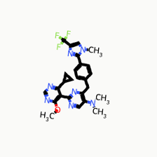 COc1ncnc(C2CC2)c1-c1ncc(N(C)C)c(Cc2ccc(-c3nc(C(F)(F)F)cn3C)cc2)n1